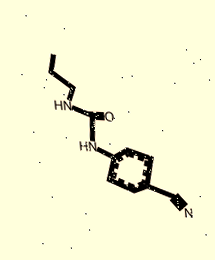 CCCNC(=O)Nc1ccc(C#N)cc1